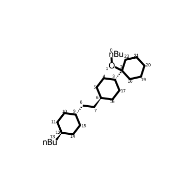 CCCCOC1([C@H]2CC[C@H](CC[C@H]3CC[C@H](CCCC)CC3)CC2)CCCCC1